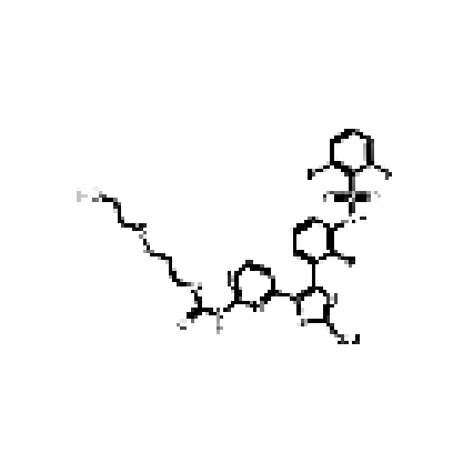 CC(C)(C)c1nc(-c2cccc(NS(=O)(=O)c3c(F)cccc3F)c2F)c(-c2ccnc(NC(=O)OCCSSCCO)n2)s1